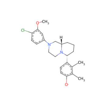 COc1cc(N2CCN3[C@@H](CCC[C@@H]3c3ccc([O])c(C)c3C)C2)ccc1Cl